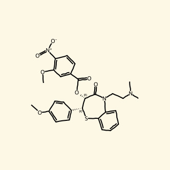 COc1ccc([C@H]2Sc3ccccc3N(CCN(C)C)C(=O)[C@H]2OC(=O)c2ccc([N+](=O)[O-])c(OC)c2)cc1